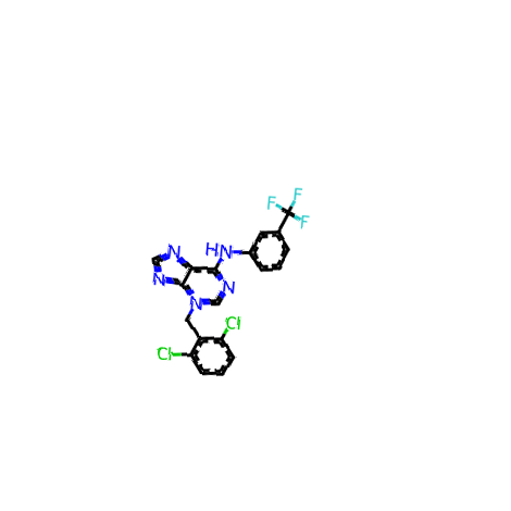 FC(F)(F)c1cccc(Nc2ncn(Cc3c(Cl)cccc3Cl)c3ncnc2-3)c1